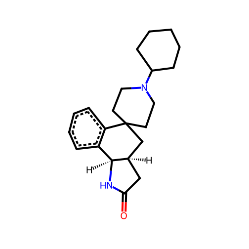 O=C1C[C@@H]2CC3(CCN(C4CCCCC4)CC3)c3ccccc3[C@@H]2N1